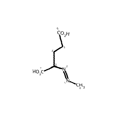 CN=NC(CCC(=O)O)C(=O)O